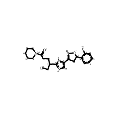 O=C(CCC(CCl)c1nc(C2=NOC(c3ccccc3F)C2)cs1)N1CCCCC1